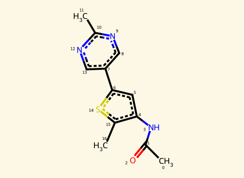 CC(=O)Nc1cc(-c2cnc(C)nc2)sc1C